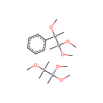 CO[Si](C)(C)[Si](C)(OC)OC.CO[Si](C)(OC)[Si](C)(OC)c1ccccc1